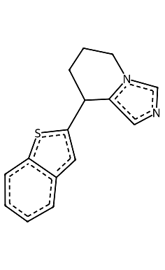 c1ccc2sc(C3CCCn4cncc43)cc2c1